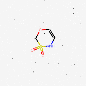 O=S1(=O)[CH]OC=CN1